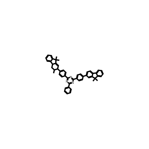 CC1CC2C(=CC1c1ccc(-c3nc(-c4ccccc4)nc(-c4ccc(-c5ccc6c(c5)C(C)(C)c5ccccc5-6)cc4)n3)cc1)C(C)(C)c1ccccc12